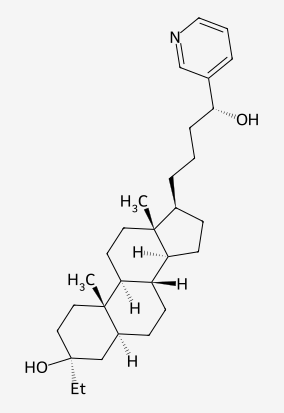 CC[C@]1(O)CC[C@@]2(C)[C@@H](CC[C@@H]3[C@@H]2CC[C@]2(C)[C@@H](CCC[C@@H](O)c4cccnc4)CC[C@@H]32)C1